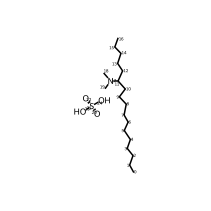 CCCCCCCCCCCC(CCCCC)N(C)C.O=S(=O)(O)O